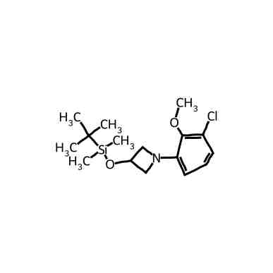 COc1c(Cl)cccc1N1CC(O[Si](C)(C)C(C)(C)C)C1